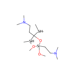 CO[Si](CCN(C)C)(OC)OC(CCN(C)C)([SiH](C)C)[SiH](C)C